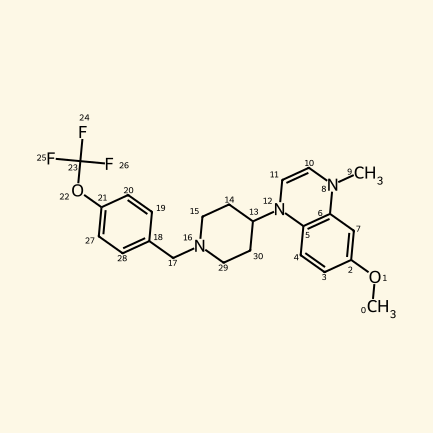 COc1ccc2c(c1)N(C)C=CN2C1CCN(Cc2ccc(OC(F)(F)F)cc2)CC1